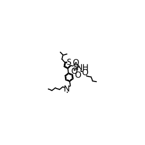 CCCCCN(C)Cc1ccc(-c2cc(CC(C)C)sc2S(=O)(=O)NC(=O)OCCCC)cc1